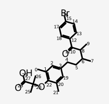 Cc1cc(CCC(C)C(C)C(=O)c2ccc(Br)cc2)cc(C)c1OC(C)(C)C(=O)O